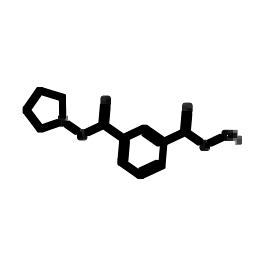 COC(=O)c1cccc(C(=O)ON2CCCC2)c1